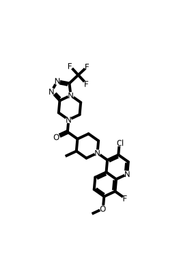 COc1ccc2c(N3CCC(C(=O)N4CCn5c(nnc5C(F)(F)F)C4)C(C)C3)c(Cl)cnc2c1F